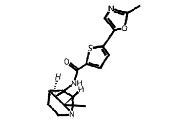 Cc1ncc(-c2ccc(C(=O)N[C@@H]3C4CCN(CC4)[C@H]3C)s2)o1